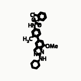 COc1cc(-c2ccc(NS(=O)(=O)c3ccccc3Cl)cc2C)cc2cnc(NC3CCCCC3)nc12